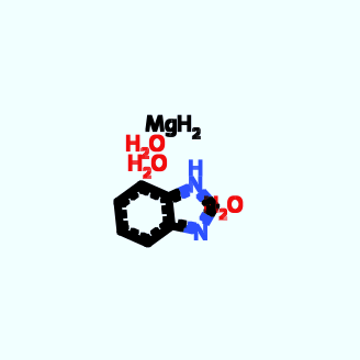 O.O.O.[MgH2].c1ccc2[nH]cnc2c1